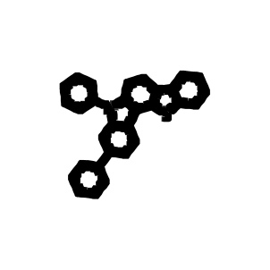 c1ccc(-c2ccc3c4c5sc6ccccc6c5ccc4n(-c4ccccc4)c3c2)cc1